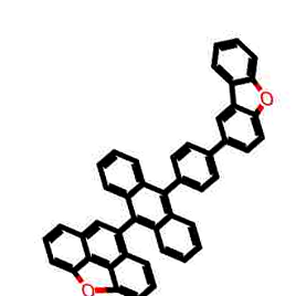 c1ccc2c(c1)oc1ccc(-c3ccc(-c4c5ccccc5c(-c5cc6cccc7oc8cccc5c8c67)c5ccccc45)cc3)cc12